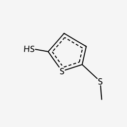 CSc1ccc(S)s1